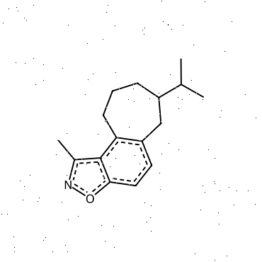 Cc1noc2ccc3c(c12)CCCC(C(C)C)C3